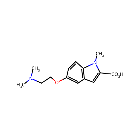 CN(C)CCOc1ccc2c(c1)cc(C(=O)O)n2C